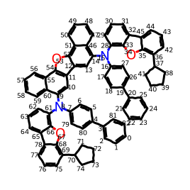 c1ccc(-c2ccc(N(c3cc4c5cc(N(c6ccc(-c7ccccc7)cc6)c6cccc7c6oc6c(C8CCCC8)cccc67)c6ccccc6c5oc4c4ccccc34)c3cccc4c3oc3c(C5CCCC5)cccc34)cc2)cc1